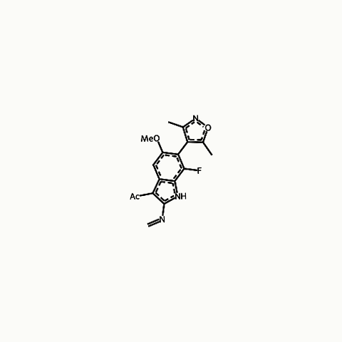 C=Nc1[nH]c2c(F)c(-c3c(C)noc3C)c(OC)cc2c1C(C)=O